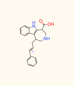 O=C(O)C1CNCC(C/C=C/c2ccccc2)c2c1[nH]c1ccccc21